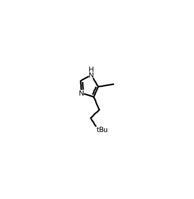 Cc1[nH]cnc1CCC(C)(C)C